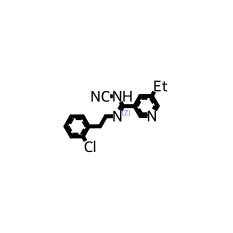 CCc1cncc(/C(=N/CCc2ccccc2Cl)NC#N)c1